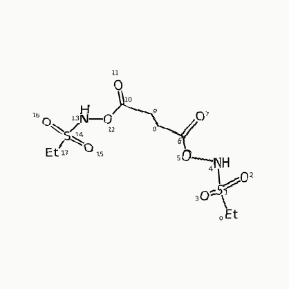 CCS(=O)(=O)NOC(=O)CCC(=O)ONS(=O)(=O)CC